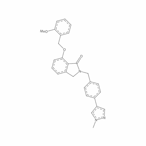 COc1ccccc1COc1cccc2c1C(=O)N(Cc1ccc(-c3cnn(C)c3)cc1)C2